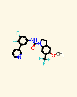 COc1cc2c(cc1C(F)(F)F)N(C(=O)Nc1cc(F)c(F)c(-c3cccnc3)c1)CC2